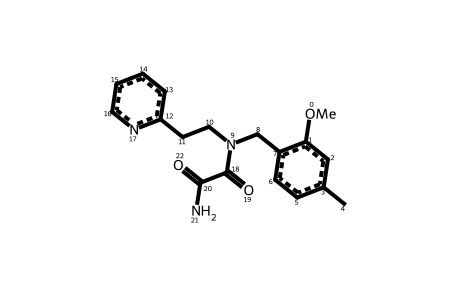 COc1cc(C)ccc1CN(CCc1ccccn1)C(=O)C(N)=O